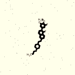 CCCCC1CCC(CCc2ccc3c(F)c(-c4cc(F)c(OC)c(F)c4)ccc3c2)CC1